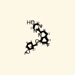 COc1cccc(COc2cc(F)cc3ccc(-c4ncc(O)cn4)nc23)c1